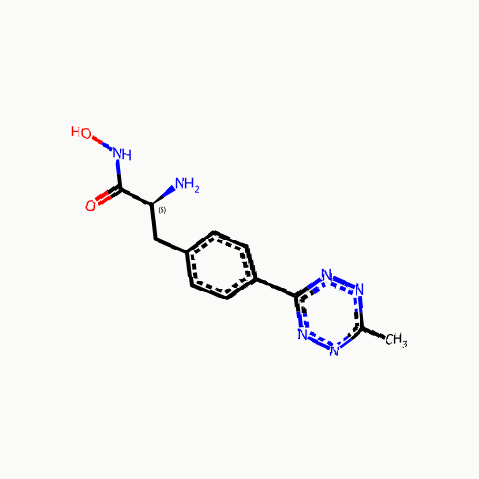 Cc1nnc(-c2ccc(C[C@H](N)C(=O)NO)cc2)nn1